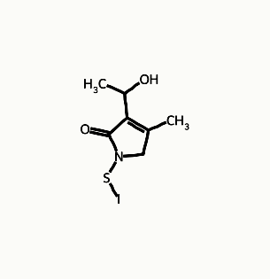 CC1=C(C(C)O)C(=O)N(SI)C1